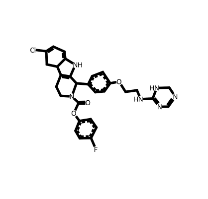 O=C(Oc1ccc(F)cc1)N1CCC2=C(NC3=CC=C(Cl)CC32)C1c1ccc(OCCNC2=NC=NCN2)cc1